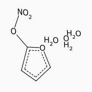 O.O.O.O=[N+]([O-])Oc1ccco1